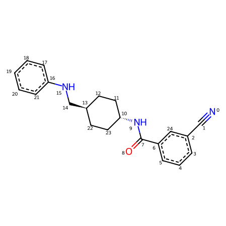 N#Cc1cccc(C(=O)N[C@H]2CC[C@H](CNc3ccccc3)CC2)c1